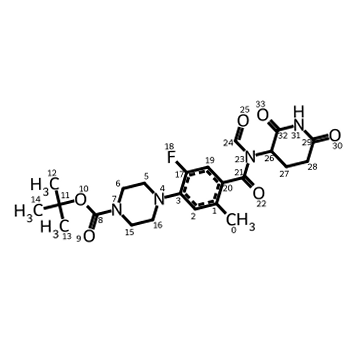 Cc1cc(N2CCN(C(=O)OC(C)(C)C)CC2)c(F)cc1C(=O)N(C=O)C1CCC(=O)NC1=O